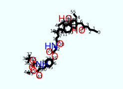 CCCC[C@@H](O)CC1CC2CC[C@]3(C)[C@@H]([C@H](C)CCC(=O)NCC(=O)Oc4ccc(C[C@H](NC(=O)OC(C)(C)C)C(=O)OCC)cc4)CC[C@H]3[C@@H]2[C@H](O)[C@@H]1CC